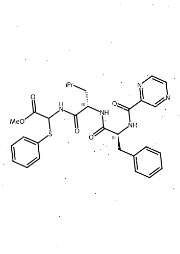 COC(=O)C(NC(=O)[C@H](CC(C)C)NC(=O)[C@H](Cc1ccccc1)NC(=O)c1cnccn1)Sc1ccccc1